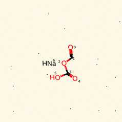 O=COC(=O)O.[NaH]